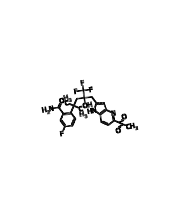 CC(C)(CC(O)(Cc1cc2nc(S(C)(=O)=O)ccc2[nH]1)C(F)(F)F)c1ccc(F)cc1C(N)=O